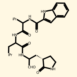 CC(C)CC(NC(=O)C(NC(=O)c1cc2ccccc2[nH]1)C(C)C)C(=O)NC(C=O)C[C@@H]1CCNC1=O